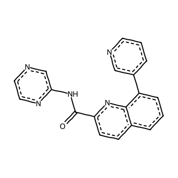 O=C(Nc1cnccn1)c1ccc2cccc(-c3cccnc3)c2n1